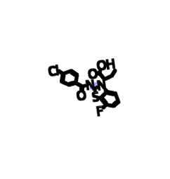 CCC(C(=O)O)n1/c(=N/C(=O)c2ccc(Cl)cc2)sc2c(F)cccc21